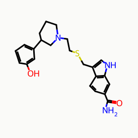 NC(=O)c1ccc2c(CSCCN3CCCC(c4cccc(O)c4)C3)c[nH]c2c1